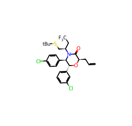 C=CC[C@H]1O[C@H](c2cccc(Cl)c2)[C@@H](c2ccc(Cl)cc2)N([C@@H](CSC(C)(C)C)CC(F)(F)F)C1=O